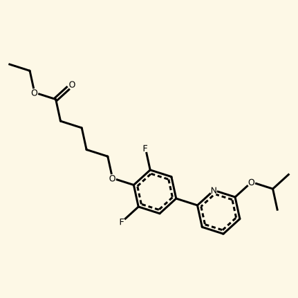 CCOC(=O)CCCCOc1c(F)cc(-c2cccc(OC(C)C)n2)cc1F